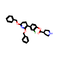 O=C(Oc1ccc(-c2ccc(OCc3ccccc3)nc2OCc2ccccc2)cc1F)C1CCNCC1